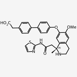 COc1cc2c(cc1Oc1ccc(-c3ccc(CC(=O)O)cc3)cc1)[C@@](C)(CC(=O)Nc1nccs1)NCC2